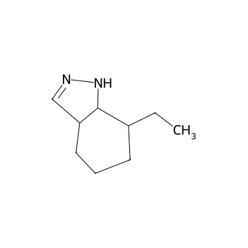 CCC1CCCC2C=NNC21